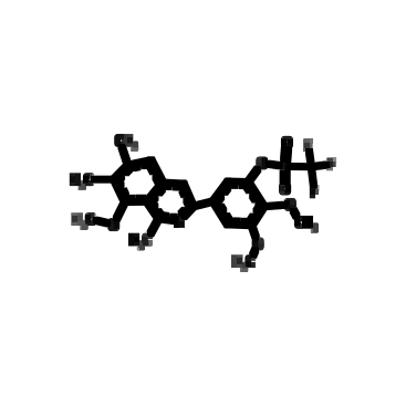 COc1cc(-c2cc3cc(C)c(C)c(OC)c3c(C)n2)cc(OS(=O)(=O)C(F)(F)F)c1OC